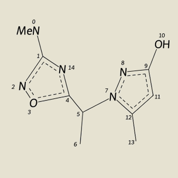 CNc1noc(C(C)n2nc(O)cc2C)n1